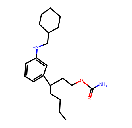 CCCCC(CCOC(N)=O)c1cccc(NCC2CCCCC2)c1